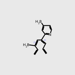 B/C(C=C)=C/C(=C\C=C)c1cc(B)ccn1